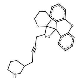 OC1(C2(CCC#CCC3CCCNC3)SCCCS2)c2ccccc2Oc2ccccc21